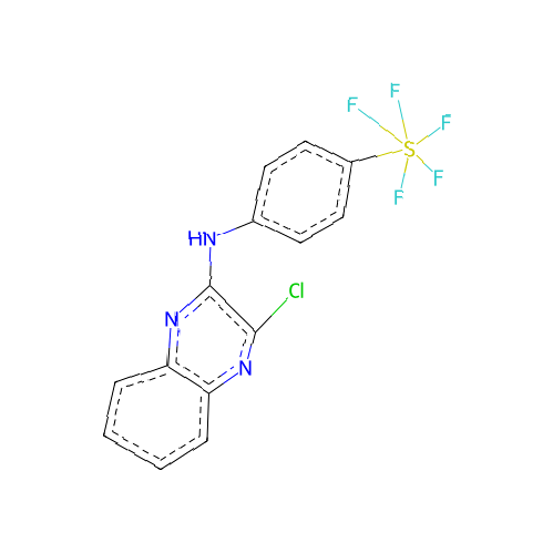 FS(F)(F)(F)(F)c1ccc(Nc2nc3ccccc3nc2Cl)cc1